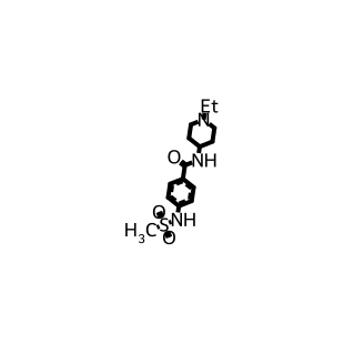 CCN1CCC(NC(=O)c2ccc(NS(C)(=O)=O)cc2)CC1